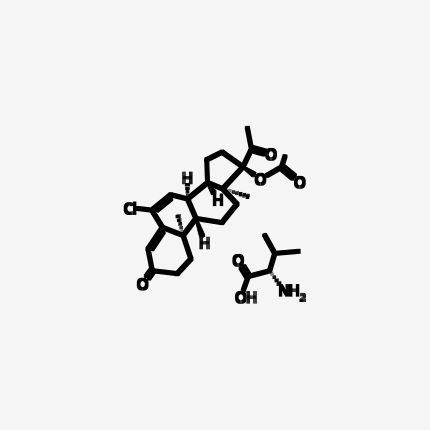 CC(=O)O[C@]1(C(C)=O)CC[C@H]2[C@@H]3C=C(Cl)C4=CC(=O)CC[C@]4(C)[C@H]3CC[C@@]21C.CC(C)[C@H](N)C(=O)O